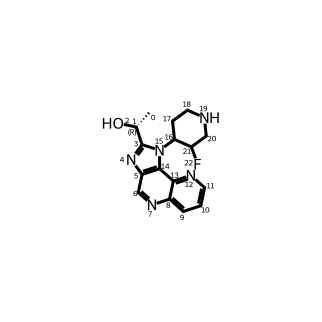 C[C@@H](O)c1nc2cnc3cccnc3c2n1C1CCNCC1F